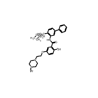 CC(C)N1CCN(CCOc2ccc(O)c(C(=O)Nc3cc(-c4ccccc4)ccc3C(=O)O)c2)CC1.CS(=O)(=O)O.CS(=O)(=O)O